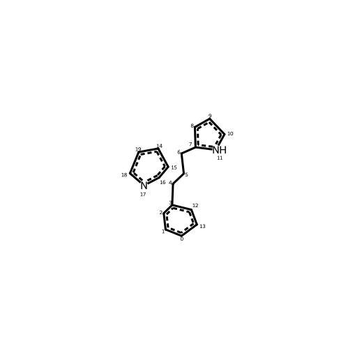 c1ccc(CCCc2ccc[nH]2)cc1.c1ccncc1